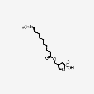 CCCCCCCC/C=C/CCCCCCCC(=O)OCC1COP(=O)(O)C1